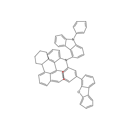 c1ccc(-n2c3ccccc3c3c(N(c4cccc(-c5cccc6c5oc5ccccc56)c4)c4ccccc4-c4cccc5cccc(C6CCCCC6)c45)cccc32)cc1